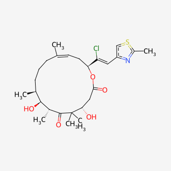 C/C1=C/C[C@@H](C(Cl)=Cc2csc(C)n2)OC(=O)C[C@H](O)C(C)(C)C(=O)[C@H](C)[C@@H](O)[C@@H](C)CCC1